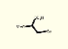 CCCCCC(OC)C(=O)O